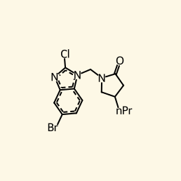 CCCC1CC(=O)N(Cn2c(Cl)nc3cc(Br)ccc32)C1